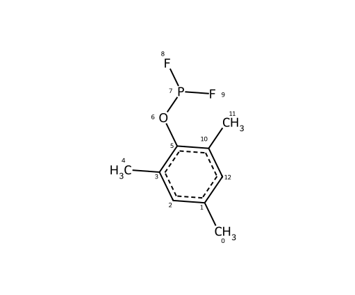 Cc1cc(C)c(OP(F)F)c(C)c1